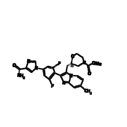 COC(=O)N1CCO[C@@H](Cc2c(-c3c(F)cc(-n4cnc(C(N)=O)c4)cc3F)nc3cc(C)ccn23)C1